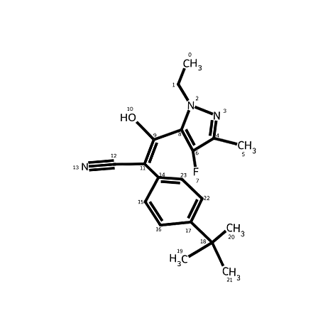 CCn1nc(C)c(F)c1/C(O)=C(/C#N)c1ccc(C(C)(C)C)cc1